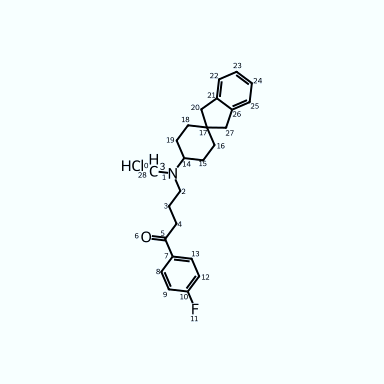 CN(CCCC(=O)c1ccc(F)cc1)C1CCC2(CC1)Cc1ccccc1C2.Cl